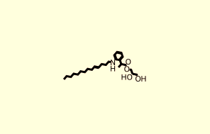 CCCCCCCCC/C=C/CCCNc1ccccc1C(C)C(=O)OCC(O)CO